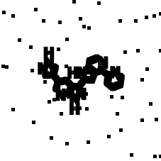 c1ccc(-c2nccc3[nH]c(-c4n[nH]c5ncc(-c6cn[nH]c6)cc45)cc23)nc1